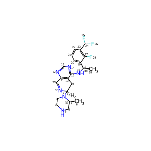 [2H]C1(N2CCNC[C@@H]2C)Cc2c(ncnc2N[C@H](C)c2cccc(C(F)F)c2F)C=N1